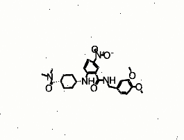 COc1ccc(CNC(=O)c2cc([N+](=O)[O-])ccc2N[C@H]2CC[C@@H](C(=O)N(C)C)CC2)cc1OC